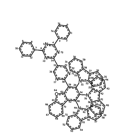 c1ccc(-c2nc(-c3ccccc3)nc(-c3cnc(-c4c(-n5c6ccccc6c6ccccc65)c(-n5c6ccccc6c6ccccc65)c(-n5c6ccccc6c6ccccc65)c5c4oc4ccccc45)nc3)n2)cc1